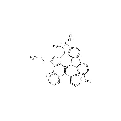 CCCC1=CC(CCC)[C]([Zr+2](=[C](c2ccccc2)c2ccccc2)[CH]2c3cc(C)ccc3-c3ccc(C)cc32)=C1CCC.[Cl-].[Cl-]